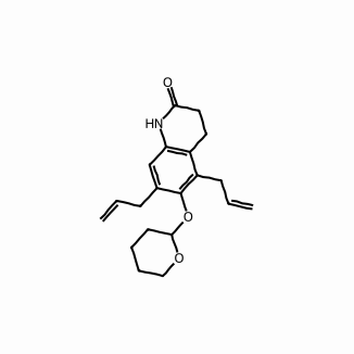 C=CCc1cc2c(c(CC=C)c1OC1CCCCO1)CCC(=O)N2